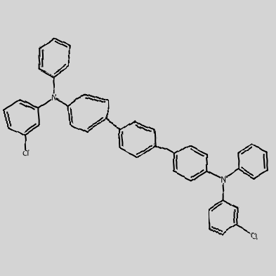 Clc1cccc(N(c2ccccc2)c2ccc(-c3ccc(-c4ccc(N(c5ccccc5)c5cccc(Cl)c5)cc4)cc3)cc2)c1